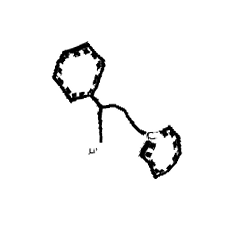 CC(C[c-]1cccc1)c1ccccc1.[Li+]